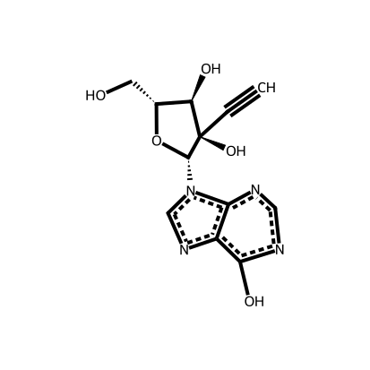 C#C[C@@]1(O)[C@H](O)[C@@H](CO)O[C@H]1n1cnc2c(O)ncnc21